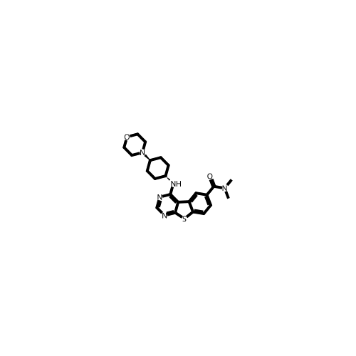 CN(C)C(=O)c1ccc2sc3ncnc(N[C@H]4CC[C@H](N5CCOCC5)CC4)c3c2c1